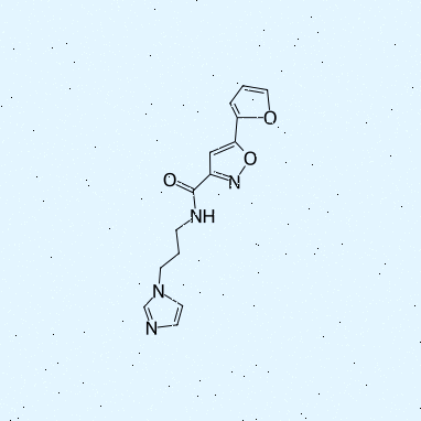 O=C(NCCCn1ccnc1)c1cc(-c2ccco2)on1